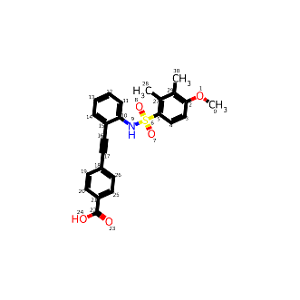 COc1ccc(S(=O)(=O)Nc2ccccc2C#Cc2ccc(C(=O)O)cc2)c(C)c1C